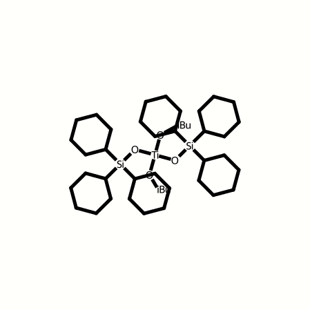 CCC(C)[O][Ti]([O]C(C)CC)([O][Si](C1CCCCC1)(C1CCCCC1)C1CCCCC1)[O][Si](C1CCCCC1)(C1CCCCC1)C1CCCCC1